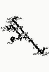 CC(=O)NC1C(C(=O)CCCC(=O)NCCCCC(=O)NCCN(CCNC(=O)CCCCNC(=O)CCCC(=O)C2OC(COC(C)=O)C(OC(C)=O)C(OC(C)=O)C2NC(C)=O)C(=O)CC[C@H](NC(=O)CCCCNC(=O)CCCC(=O)C2OC(COC(C)=O)C(OC(C)=O)C(OC(C)=O)C2NC(C)=O)C(=O)NCCOc2ccccc2COC(C)=O)OC(COC(C)=O)C(OC(C)=O)C1OC(C)=O